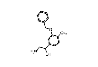 COc1ccc(C(O)CN)cc1OCc1ccccc1